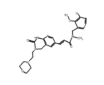 CCOc1c(Cl)cccc1CN(C)C(=O)/C=C/c1cnc2c(c1)CN(CCN1CCOCC1)C(=O)N2